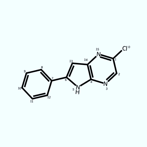 Clc1cnc2[nH]c(-c3ccccc3)cc2n1